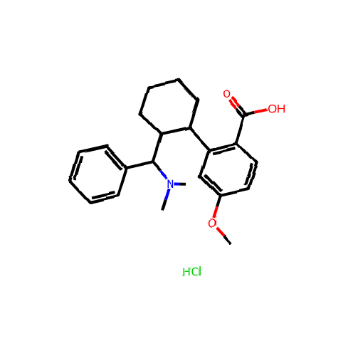 COc1ccc(C(=O)O)c(C2CCCCC2C(c2ccccc2)N(C)C)c1.Cl